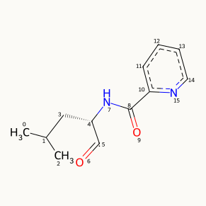 CC(C)C[C@@H]([C]=O)NC(=O)c1ccccn1